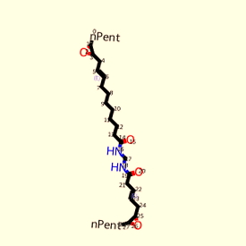 CCCCCC1OC1C/C=C/CCCCCCCC(=O)NCNC(=O)C/C=C/CC1OC1CCCCC